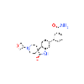 NC(=O)c1cccc(-c2ccc3c(c2)NC(=O)C32CCN(C3COC3)CC2)c1